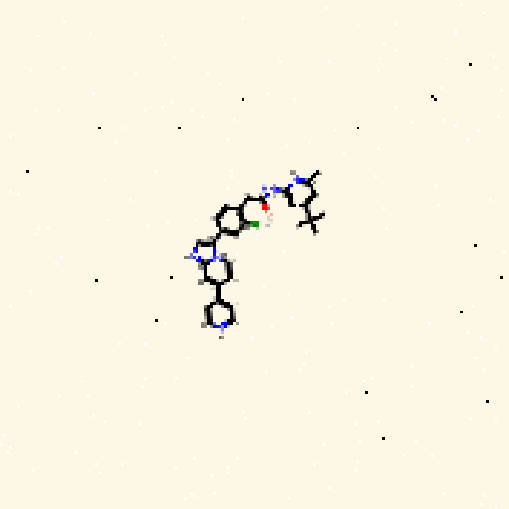 Cc1cc(C(C)(C)C)cc(NC(=O)Cc2ccc(-c3cnc4cc(-c5ccncc5)ccn34)cc2F)n1